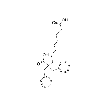 O=C(O)CCCCCCCC(Cc1ccccc1)(Cc1ccccc1)C(=O)O